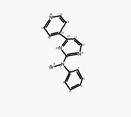 BrN(c1ccccc1)c1nccc(-c2ccncc2)n1